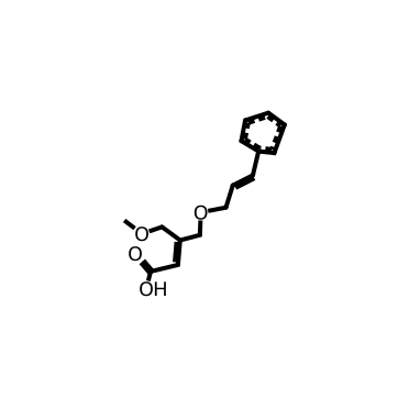 COCC(=CC(=O)O)COCC=Cc1ccccc1